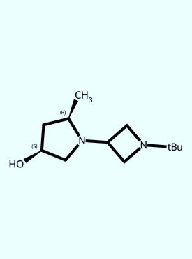 C[C@@H]1C[C@H](O)CN1C1CN(C(C)(C)C)C1